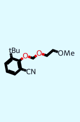 COCCOCOc1c(C#N)cccc1C(C)(C)C